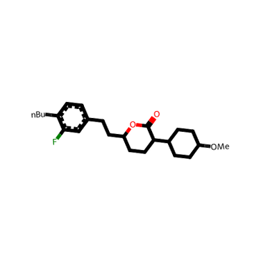 CCCCc1ccc(CCC2CCC(C3CCC(OC)CC3)C(=O)O2)cc1F